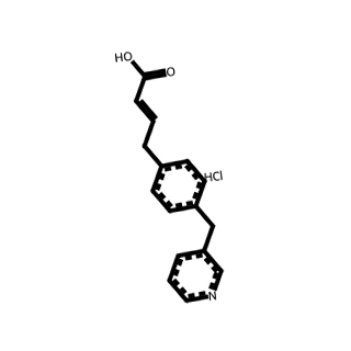 Cl.O=C(O)/C=C/Cc1ccc(Cc2cccnc2)cc1